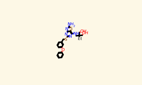 CCC(CO)(CO)CNc1nc(SCc2cccc(Oc3ccccc3)c2)nc2nc(N)sc12